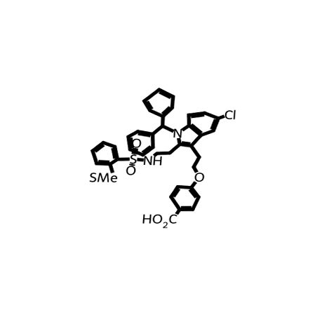 CSc1ccccc1S(=O)(=O)NCCc1c(CCOc2ccc(C(=O)O)cc2)c2cc(Cl)ccc2n1C(c1ccccc1)c1ccccc1